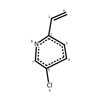 C=Cc1ccc(Cl)cn1